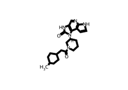 CC1CCC(CC(=O)N2CCC[C@@H](n3c(=O)[nH]c4cnc5[nH]ccc5c43)C2)CC1